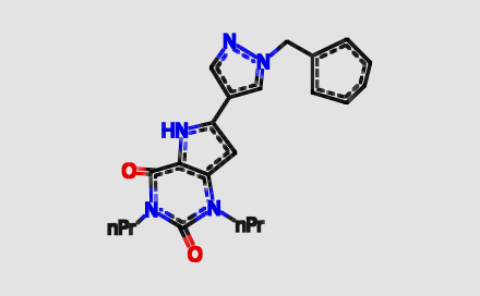 CCCn1c(=O)c2[nH]c(-c3cnn(Cc4ccccc4)c3)cc2n(CCC)c1=O